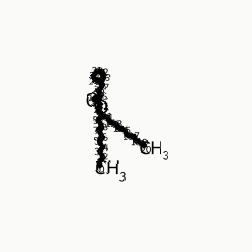 CCCCCCCCCCC(CCCCCCCCCC)COC(=O)CCCc1ccccc1